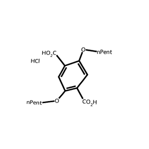 CCCCCOc1cc(C(=O)O)c(OCCCCC)cc1C(=O)O.Cl